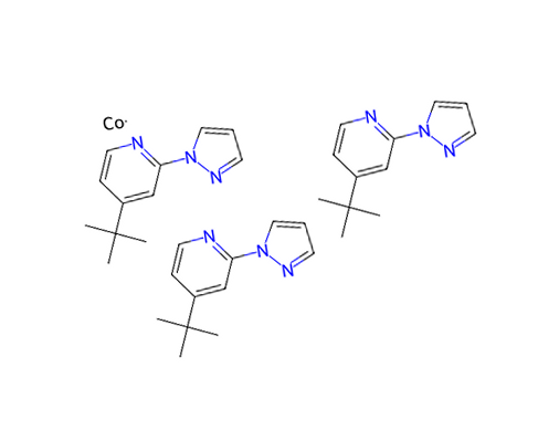 CC(C)(C)c1ccnc(-n2cccn2)c1.CC(C)(C)c1ccnc(-n2cccn2)c1.CC(C)(C)c1ccnc(-n2cccn2)c1.[Co]